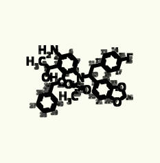 CC(O)c1c(N)ccc(N(C(Cc2ccc(F)cc2)c2ccc3c(c2)OCO3)S(C)(=O)=O)c1OCc1ccccc1